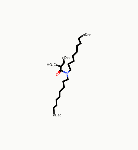 CCCCCCCCCCCCCCCCCCN(CCCCCCCCCCCCCCCCCC)C(=O)C(CCCCCCCCCCC)C(=O)O